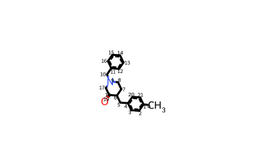 Cc1ccc(CC2CCN(Cc3ccccc3)CC2=O)cc1